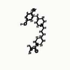 COc1ccc(Br)c(CC2CCN(CCCC3CCN(C(=O)N(C)C)CC3)CC2)c1